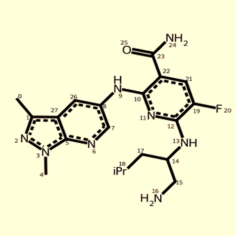 Cc1nn(C)c2ncc(Nc3nc(NC(CN)CC(C)C)c(F)cc3C(N)=O)cc12